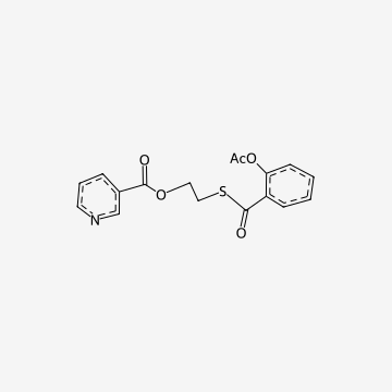 CC(=O)Oc1ccccc1C(=O)SCCOC(=O)c1cccnc1